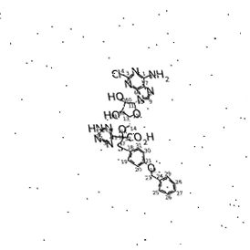 Nc1nc(Cl)nc2c1ncn2[C@@H]1O[C@H](COC(Sc2ccc(OCc3ccccc3)cc2)(C(=O)O)c2nn[nH]n2)[C@@H](O)[C@H]1O